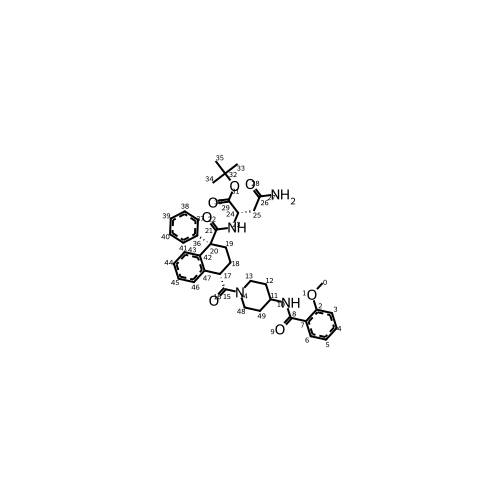 COc1ccccc1C(=O)NC1CCN(C(=O)[C@H]2CC[C@@](C(=O)N[C@@H](CC(N)=O)C(=O)OC(C)(C)C)(c3ccccc3)c3ccccc32)CC1